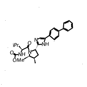 COC(=O)N[C@H](C(=O)N1[C@H](C)[C@H](C)C[C@H]1c1ncc(-c2ccc(-c3ccccc3)cc2)[nH]1)C(C)C